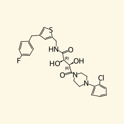 O=C(NCc1cc(Cc2ccc(F)cc2)cs1)[C@H](O)[C@@H](O)C(=O)N1CCN(c2ccccc2Cl)CC1